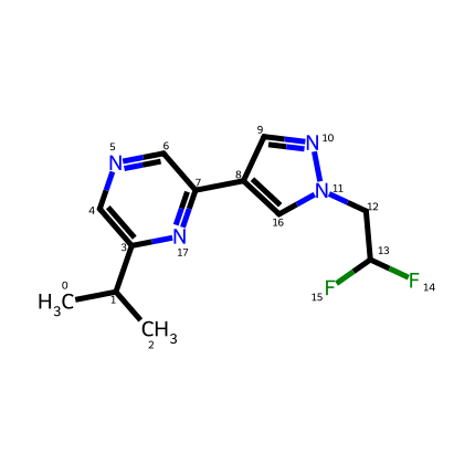 CC(C)c1cncc(-c2cnn(CC(F)F)c2)n1